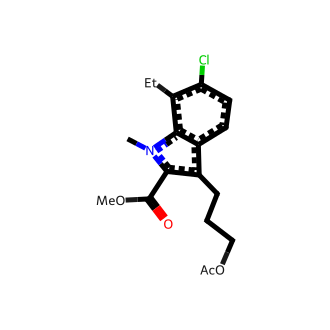 CCc1c(Cl)ccc2c(CCCOC(C)=O)c(C(=O)OC)n(C)c12